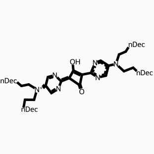 CCCCCCCCCCCCN(CCCCCCCCCCCC)c1cnc(C2=C(O)C(=C3N=CC(=[N+](CCCCCCCCCCCC)CCCCCCCCCCCC)C=N3)C2=O)nc1